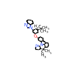 CC(C)(C)c1cc(Oc2ccc3c4cccc5c4n(c3c2)-c2ncccc2C5(C)C)cc(-n2cnc3ccccc32)c1